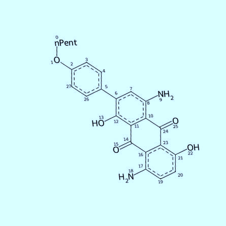 CCCCCOc1ccc(-c2cc(N)c3c(c2O)C(=O)c2c(N)ccc(O)c2C3=O)cc1